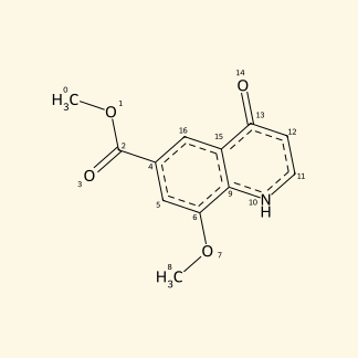 COC(=O)c1cc(OC)c2[nH]ccc(=O)c2c1